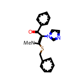 CN/C(SCc1ccccc1)=C(\C(=O)c1ccccc1)n1ccnc1